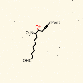 CCCCCC#CCC(O)C(CCCCCCCC=O)[N+](=O)[O-]